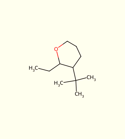 CCC1OCCCC1C(C)(C)C